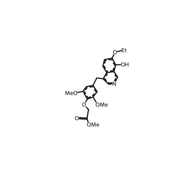 CCOc1ccc2c(Cc3cc(OC)c(OCC(=O)OC)c(OC)c3)cncc2c1O